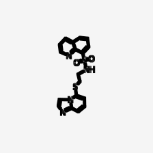 O=S(=O)(NCCSc1cccc2nccn12)c1cccc2cccnc12